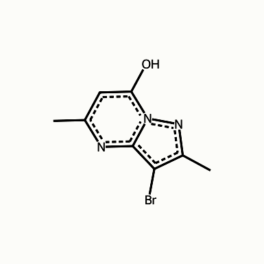 Cc1cc(O)n2nc(C)c(Br)c2n1